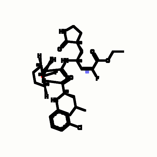 CCOC(=O)/C(F)=C\[C@H](C[C@@H]1CCNC1=O)NC(=O)[C@@H]1[C@H]2CC[C@H](CC2(F)F)N1C(=O)[C@@H](CC(C)C)Nc1cccc(Cl)c1